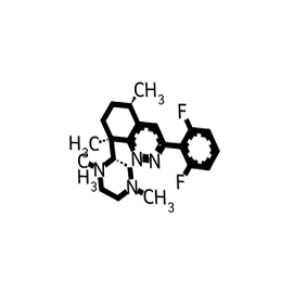 C[C@H]1CC[C@](C)([C@@H]2CN(C)CCN2C)c2nnc(-c3c(F)cccc3F)cc21